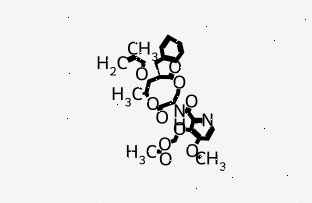 C=C(C)CO[C@H]1[C@H](C)OC(=O)[C@@H](NC(=O)c2nccc(OC)c2OCOC(C)=O)COC(=O)[C@@H]1Cc1ccccc1